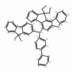 CCC1(CC)c2ccccc2-c2c(N(c3ccc(-c4ccccc4)cc3)c3ccc4c(c3)C(C)(C)c3ccccc3-4)cc3oc4ccccc4c3c21